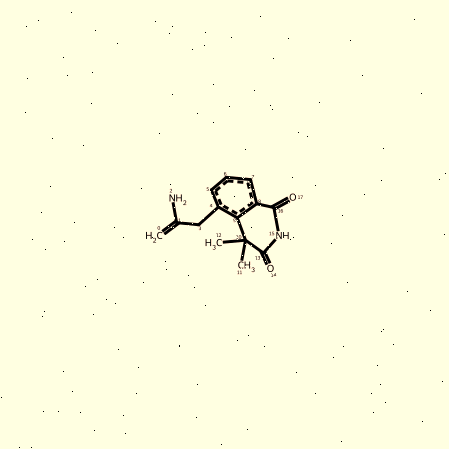 C=C(N)Cc1cccc2c1C(C)(C)C(=O)NC2=O